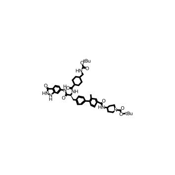 Cc1cc(C(=O)NC2CCN(C(=O)OC(C)(C)C)CC2)ccc1-c1ccc(C[C@H](NC(=O)C2CCC(CNC(=O)OC(C)(C)C)CC2)C(=O)Nc2ccc3c(=O)[nH][nH]c3c2)cc1